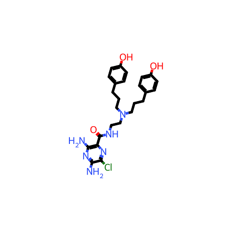 Nc1nc(N)c(C(=O)NCCN(CCCc2ccc(O)cc2)CCCc2ccc(O)cc2)nc1Cl